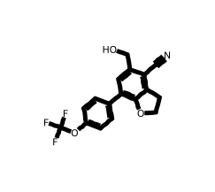 N#Cc1c(CO)cc(-c2ccc(OC(F)(F)F)cc2)c2c1CCO2